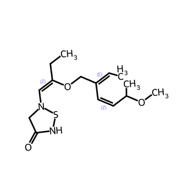 C/C=C(\C=C/C(C)OC)CO/C(=C\N1CC(=O)NS1)CC